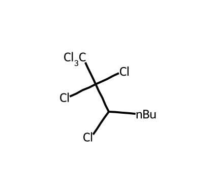 CCCCC(Cl)C(Cl)(Cl)C(Cl)(Cl)Cl